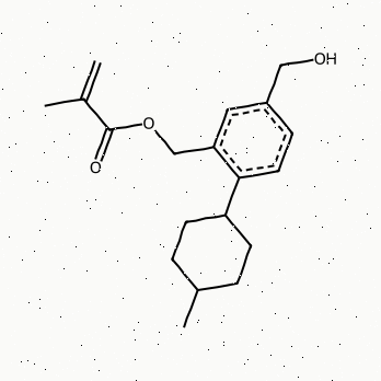 C=C(C)C(=O)OCc1cc(CO)ccc1C1CCC(C)CC1